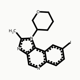 Cc1nc2cnc3ccc(I)cc3c2n1C1CCCOC1